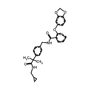 CC(C)(C(=O)NCC1CC1)c1ccc(CNC(=O)c2cccnc2Oc2ccc3c(c2)OCO3)cc1